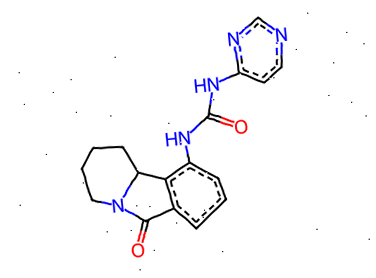 O=C(Nc1ccncn1)Nc1cccc2c1C1CCCCN1C2=O